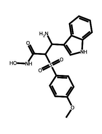 COc1ccc(S(=O)(=O)C(C(=O)NO)C(N)c2c[nH]c3ccccc23)cc1